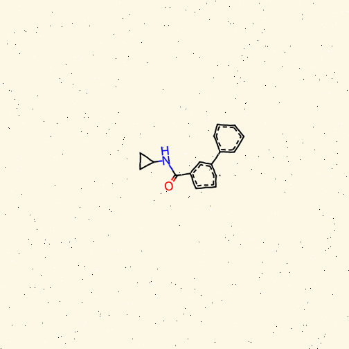 O=C(NC1CC1)c1cc[c]c(-c2ccccc2)c1